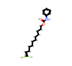 O=C(Nc1ccccc1)OCCCCCCCCCCC=C(F)F